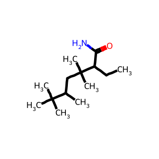 CCC(C(N)=O)C(C)(C)CC(C)C(C)(C)C